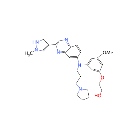 COc1cc(OCCO)cc(N(CCCN2CCCC2)c2ccc3ncc(C4=CN(C)NC4)nc3c2)c1